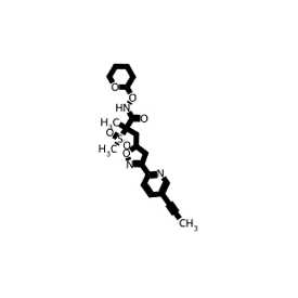 CC#Cc1ccc(C2=NOC(CC(C)(C(=O)NOC3CCCCO3)S(C)(=O)=O)C2)nc1